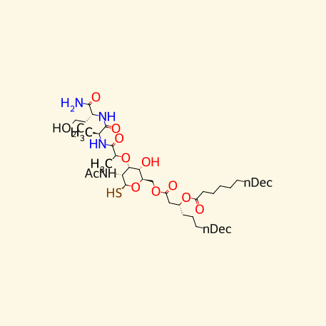 CCCCCCCCCCCCCCCC(=O)O[C@H](CCCCCCCCCCCCC)CC(=O)OC[C@H]1O[C@@H](S)[C@H](NC(C)=O)[C@H](OC(C)C(=O)N[C@@H](C)C(=O)N[C@H](CCC(=O)O)C(N)=O)[C@@H]1O